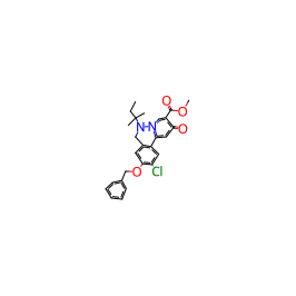 CCC(C)(C)N1Cc2cc(OCc3ccccc3)c(Cl)cc2-c2cc(=O)c(C(=O)OC)cn21